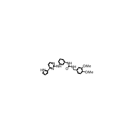 COc1ccc(CNC(=O)Nc2cccc(Nc3nccc(-c4ccc[nH]4)n3)c2)cc1OC